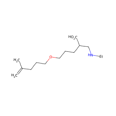 C=C(C)CCCOCCCC(CNCC)C(=O)O